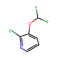 FC(F)Oc1cccnc1Cl